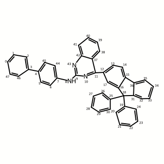 c1ccc(-c2ccc(Nc3nc(-c4ccc5c(c4)C(c4ccccc4)(c4ccccc4)c4ccccc4-5)c4ccccc4n3)cc2)cc1